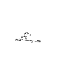 C=CC(=O)OC(COCCOCCO)OC(C)=O